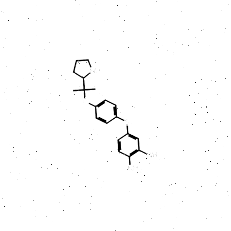 CC(C)(Oc1ccc(Sc2ccc(N)c(N)c2)cc1)C1CCCN1